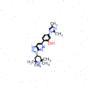 Cc1cn(-c2ccc(-c3cc4nnn(C5CC(C)(C)NC(C)(C)C5)c4nn3)c(O)c2)c(C)n1